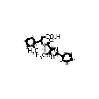 Cc1ccccc1C(CC(=O)O)NC(=O)c1nc(-c2ccccc2)oc1C